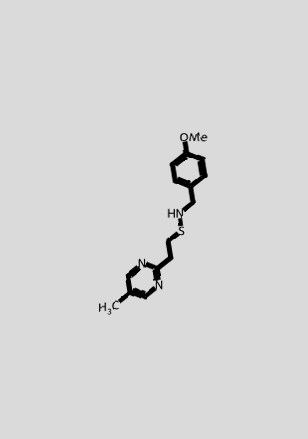 COc1ccc(CNSCCc2ncc(C)cn2)cc1